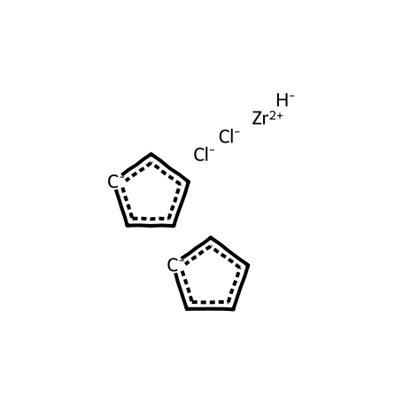 [Cl-].[Cl-].[H-].[Zr+2].c1cc[cH-]c1.c1cc[cH-]c1